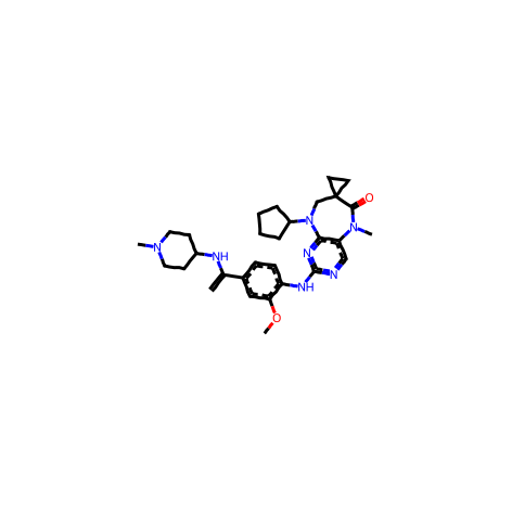 C=C(NC1CCN(C)CC1)c1ccc(Nc2ncc3c(n2)N(C2CCCC2)CC2(CC2)C(=O)N3C)c(OC)c1